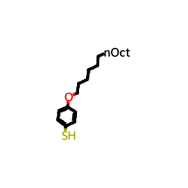 CCCCCCCCCCCCCCOc1ccc(S)cc1